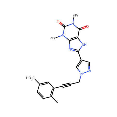 CCCn1c(=O)c2[nH]c(-c3cnn(CC#Cc4cc(C(=O)O)ccc4C)c3)nc2n(CCC)c1=O